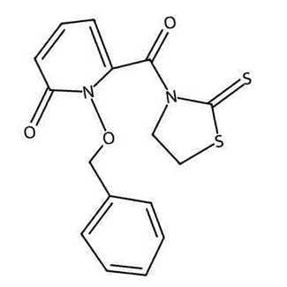 O=C(c1cccc(=O)n1OCc1ccccc1)N1CCSC1=S